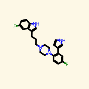 Fc1ccc(N2CCN(CCCc3c[nH]c4ccc(F)cc34)CC2)c(-c2cc[nH]c2)c1